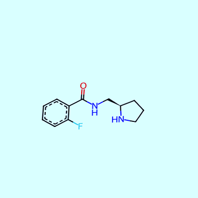 O=C(NC[C@H]1CCCN1)c1ccccc1F